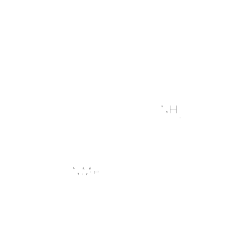 CNC1=CC(N)=CCC=C1